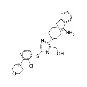 N[C@@H]1c2ccccc2CC12CCN(c1ncc(Sc3ccnc(N4CCOCC4)c3Cl)nc1CO)CC2